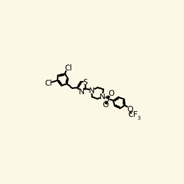 O=S(=O)(c1ccc(OC(F)(F)F)cc1)N1CCN(c2nc(Cc3cc(Cl)cc(Cl)c3)cs2)CC1